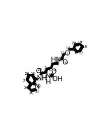 O=C(O)NC(CCCCNC(=O)COCc1ccccc1)C(=O)Nc1cccc2cccnc12